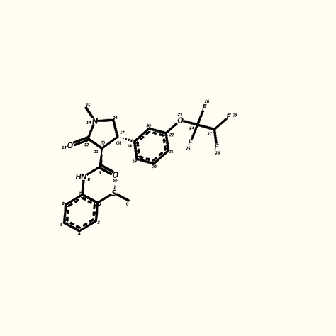 CSc1ccccc1NC(=O)[C@H]1C(=O)N(C)C[C@@H]1c1cccc(OC(F)(F)C(F)F)c1